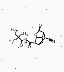 CCC(C)(C)C(=O)NC(=O)C1C2CC3C1OC(=O)C3C2C#N